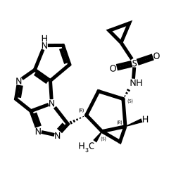 C[C@]12C[C@H]1[C@@H](NS(=O)(=O)C1CC1)C[C@H]2c1nnc2cnc3[nH]ccc3n12